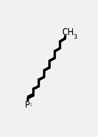 CCCCCCCCCCCCCC=C[P]